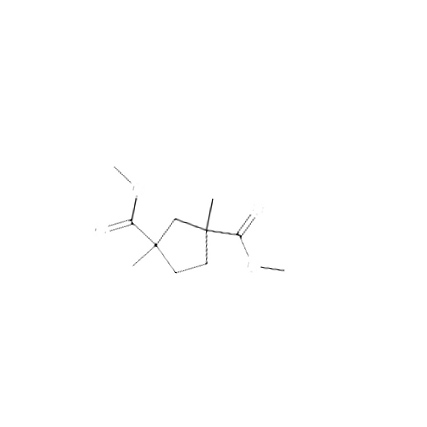 COC(=O)C1(C)CCC(C)(C(=O)OC)C1